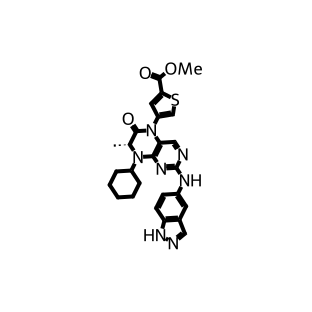 COC(=O)c1cc(N2C(=O)[C@@H](C)N(C3CCCCC3)c3nc(Nc4ccc5[nH]ncc5c4)ncc32)cs1